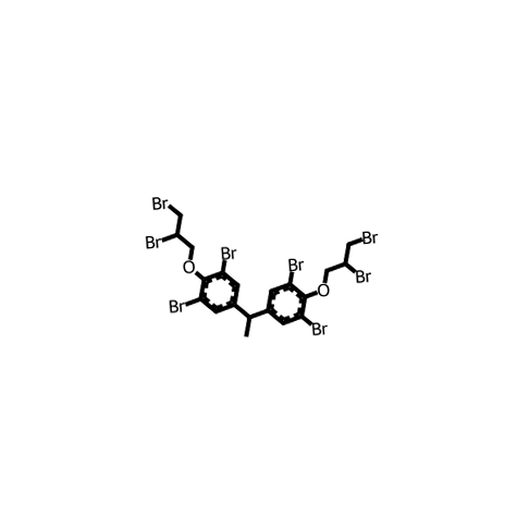 CC(c1cc(Br)c(OCC(Br)CBr)c(Br)c1)c1cc(Br)c(OCC(Br)CBr)c(Br)c1